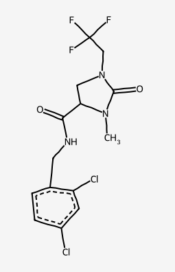 CN1C(=O)N(CC(F)(F)F)CC1C(=O)NCc1ccc(Cl)cc1Cl